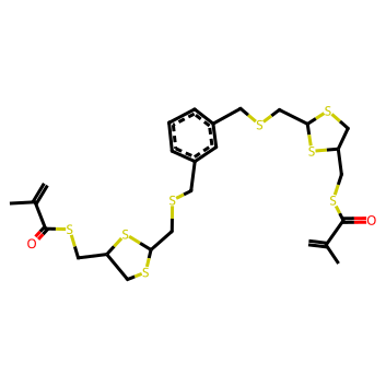 C=C(C)C(=O)SCC1CSC(CSCc2cccc(CSCC3SCC(CSC(=O)C(=C)C)S3)c2)S1